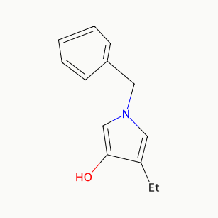 CCc1cn(Cc2ccccc2)cc1O